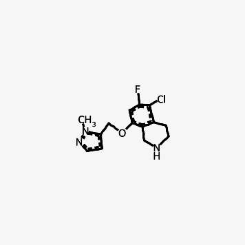 Cn1nccc1COc1cc(F)c(Cl)c2c1CNCC2